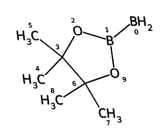 BB1OC(C)(C)C(C)(C)O1